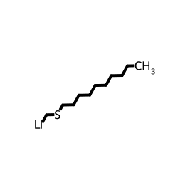 [Li][CH2]SCCCCCCCCCC